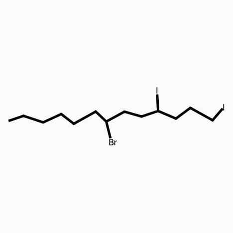 CCCCCCC(Br)CCC(I)CCCI